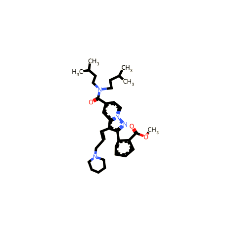 COC(=O)c1ccccc1-c1nn2ccc(C(=O)N(CCC(C)C)CCC(C)C)cc2c1/C=C/CN1CCCCC1